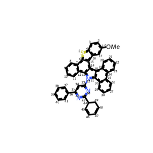 COc1ccc2sc3c4ccccc4c4c(c3c2c1)c1c2ccccc2c2ccccc2c1n4-c1cc(-c2ccccc2)nc(C2C=CC=CC2)n1